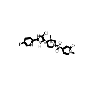 C[C@H]1CN(S(=O)(=O)c2ccn(C)c(=O)c2)CC[C@H]1c1[nH]c(-c2ccc(F)cn2)nc1Cl